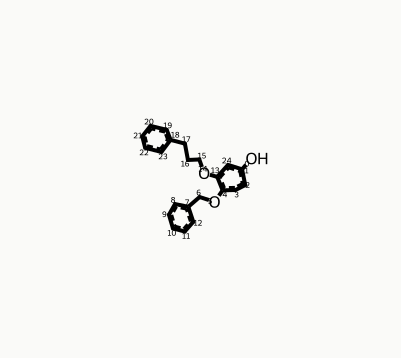 Oc1ccc(OCc2ccccc2)c(OCCCc2ccccc2)c1